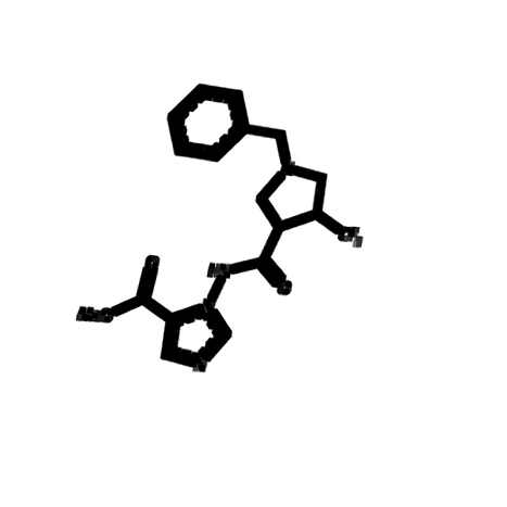 COC(=O)c1cncn1NC(=O)C1CN(Cc2ccccc2)CC1C(F)(F)F